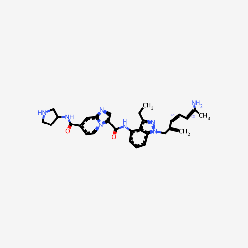 C=C(/C=C\C=C(\C)N)Cn1nc(CC)c2c(NC(=O)c3cnc4cc(C(=O)NC5CCNC5)ccn34)cccc21